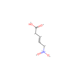 O=C(O)CC=CC[N+](=O)[O-]